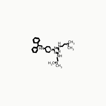 CN(C)CCNc1nc(NCCN(C)C)nc(N2CCC(NCC(c3ccccc3)c3ccccc3)CC2)n1